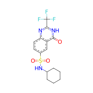 O=c1[nH]c(C(F)(F)F)nc2ccc(S(=O)(=O)NC3CCCCC3)cc12